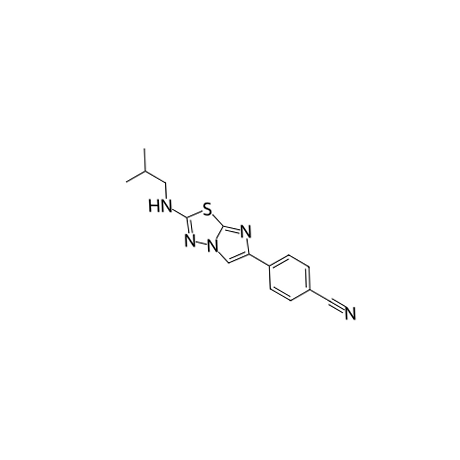 CC(C)CNc1nn2cc(-c3ccc(C#N)cc3)nc2s1